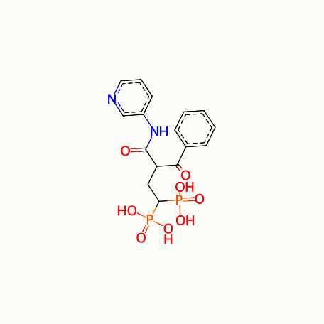 O=C(Nc1cccnc1)C(CC(P(=O)(O)O)P(=O)(O)O)C(=O)c1ccccc1